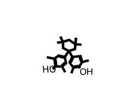 Cc1cc(C2(c3cc(C)c(O)c(C)c3)CC(C)(C)CC(C)(C)C2)cc(C)c1O